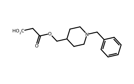 O=C(O)CC(=O)OCC1CCN(Cc2ccccc2)CC1